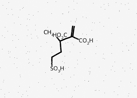 C.C=C(C(=O)O)C(CCS(=O)(=O)O)C(=O)O